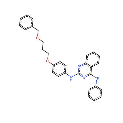 c1ccc(COCCCOc2ccc(Nc3nc(Nc4ccccc4)c4ccccc4n3)cc2)cc1